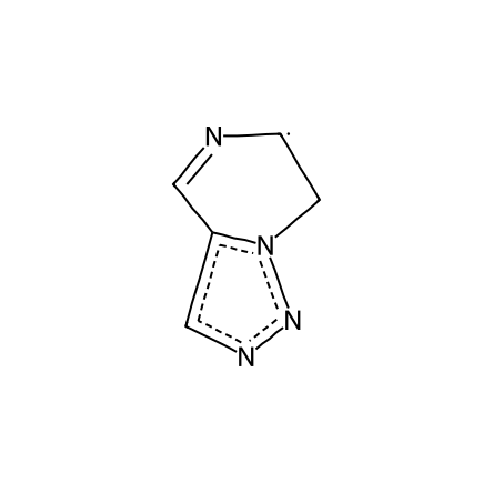 [CH]1Cn2nncc2C=N1